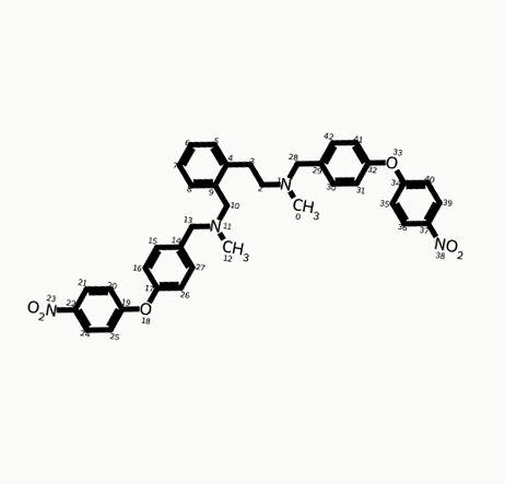 CN(CCc1ccccc1CN(C)Cc1ccc(Oc2ccc([N+](=O)[O-])cc2)cc1)Cc1ccc(Oc2ccc([N+](=O)[O-])cc2)cc1